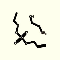 C=CCOS(=O)(=O)OOCC.NCCO